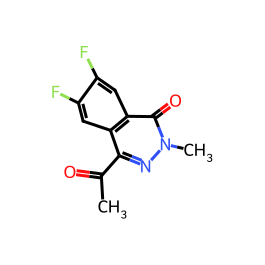 CC(=O)c1nn(C)c(=O)c2cc(F)c(F)cc12